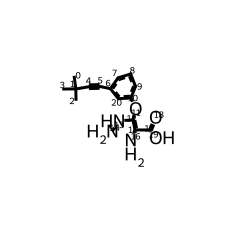 CC(C)(C)C#Cc1cccc(O/C(NN)=C(/N)C(=O)O)c1